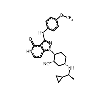 C[C@H](N[C@H]1CC[C@H](n2nc(Nc3ccc(OC(F)(F)F)cc3)c3c(=O)[nH]ccc32)[C@@H](C#N)C1)C1CC1